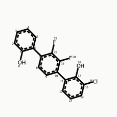 Oc1ccccc1-c1ccc(-c2cccc(Cl)c2O)c(F)c1F